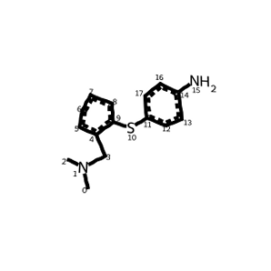 CN(C)Cc1ccccc1Sc1ccc(N)cc1